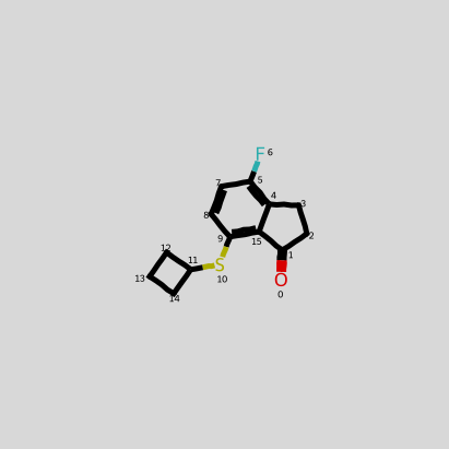 O=C1CCc2c(F)ccc(SC3CCC3)c21